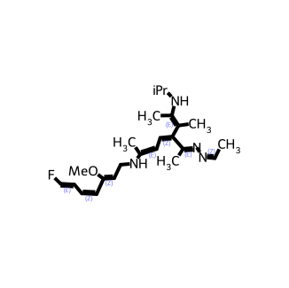 C\C=N/N=C(C)/C(=C\C=C(/C)NC/C=C(/C=C\C=C\F)OC)C(/C)=C(\C)NC(C)C